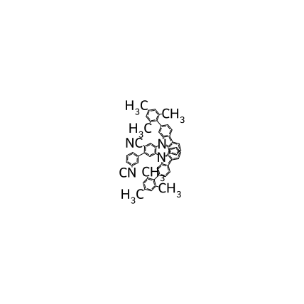 Cc1cc(C)c(-c2ccc3c4ccccc4n(-c4cc(C#N)c(-c5cccc(C#N)c5)cc4-n4c5ccccc5c5ccc(-c6c(C)cc(C)cc6C)cc54)c3c2)c(C)c1